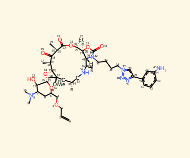 C=CCOCC1CC(N(C)C)C(O)[C@H](O[C@@H]2[C@@H](C)C(=O)[C@@H](C)C(=O)O[C@H](CC)[C@@]3(C)OC(=O)N(CCCCn4cc(-c5cccc(N)c5)nn4)[C@@H]3[C@@H](C)NC[C@H](C)C[C@@]2(C)OC)O1